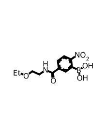 CCOCCNC(=O)c1ccc([N+](=O)[O-])c(B(O)O)c1